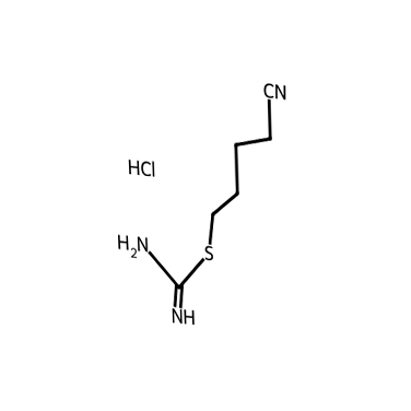 Cl.N#CCCCCSC(=N)N